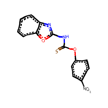 O=[N+]([O-])c1ccc(OC(=S)Nc2nc3ccccc3o2)cc1